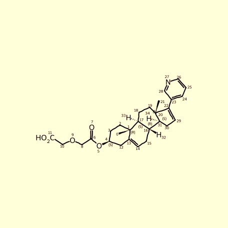 C[C@]12CC[C@H](OC(=O)COCC(=O)O)CC1=CC[C@@H]1[C@@H]2CC[C@]2(C)C(c3cccnc3)=CC[C@@H]12